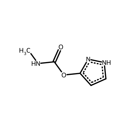 CNC(=O)Oc1cc[nH]n1